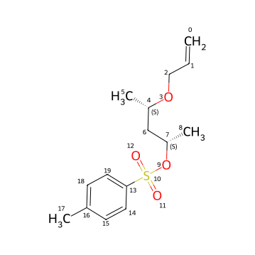 C=CCO[C@@H](C)C[C@H](C)OS(=O)(=O)c1ccc(C)cc1